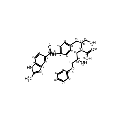 Cc1nc2cc(C(=O)Nc3ccc(C[C@@H](CO)N(C[C@H](O)COc4ccccc4)C(=O)O)cc3)ccc2[nH]1